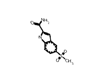 CS(=O)(=O)c1ccc2c(c1)C=C(C(N)=O)[N]2